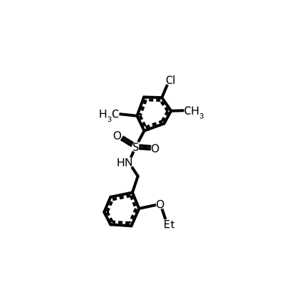 CCOc1ccccc1CNS(=O)(=O)c1cc(C)c(Cl)cc1C